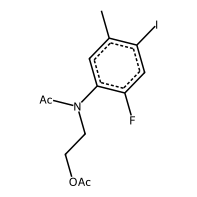 CC(=O)OCCN(C(C)=O)c1cc(C)c(I)cc1F